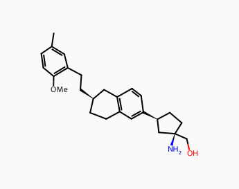 COc1ccc(C)cc1CC[C@@H]1CCc2cc([C@H]3CC[C@](N)(CO)C3)ccc2C1